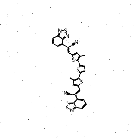 Cc1cc(/C=C(\C#N)c2cccc3nsnc23)sc1-c1ccc(-c2sc(/C=C(\C#N)c3cccc4nsnc34)cc2C)s1